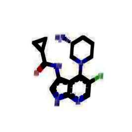 N[C@@H]1CCCN(c2c(Cl)cnc3[nH]cc(NC(=O)C4CC4)c23)C1